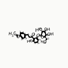 COc1ccc(CCC(=O)c2c(O)cccc2O[C@@H]2O[C@H](CO)[C@@H](O)[C@H](O)[C@H]2O)cc1